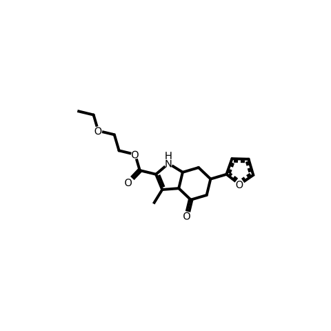 CCOCCOC(=O)C1=C(C)C2C(=O)CC(c3ccco3)CC2N1